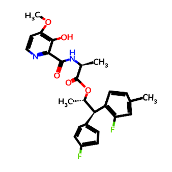 COc1ccnc(C(=O)N[C@@H](C)C(=O)O[C@@H](C)[C@H](c2ccc(F)cc2)c2ccc(C)cc2F)c1O